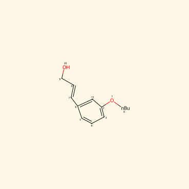 CCCCOc1cccc(/C=C/CO)c1